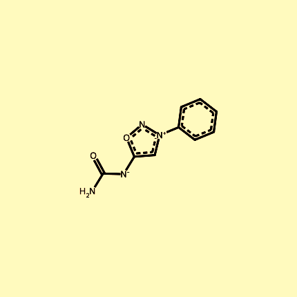 NC(=O)[N-]c1c[n+](-c2ccccc2)no1